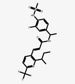 CCC(C)c1nc(C(F)(F)F)ccc1/C=C/C(=O)NC(C)c1ccc(NS(C)(=O)=O)c(F)c1